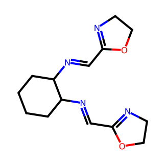 C(=NC1CCCCC1N=CC1=NCCO1)C1=NCCO1